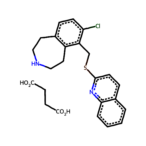 Clc1ccc2c(c1CSc1ccc3ccccc3n1)CCNCC2.O=C(O)CCC(=O)O